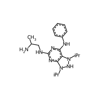 CC(N)CNc1nc(Nc2ccccc2)c2c(n1)N(C(C)C)NN2C(C)C